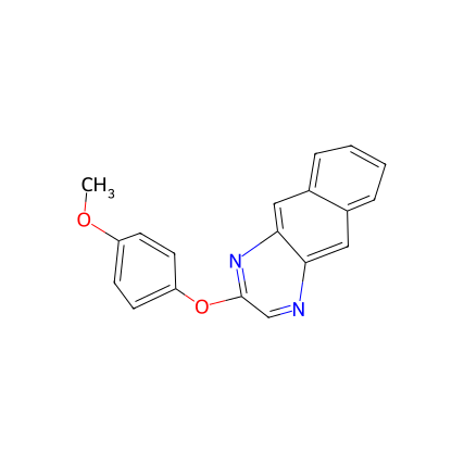 COc1ccc(Oc2cnc3cc4ccccc4cc3n2)cc1